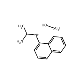 CC(N)Nc1cccc2ccccc12.O=S(=O)(O)O